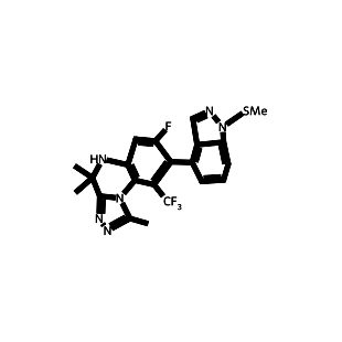 CSn1ncc2c(-c3c(F)cc4c(c3C(F)(F)F)-n3c(C)nnc3C(C)(C)N4)cccc21